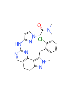 CN(C)C(=O)Cn1ccc(Nc2ncc3c(n2)-c2c(nn(C)c2Cc2ccccc2Cl)CC3)n1